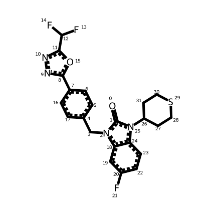 O=c1n(Cc2ccc(-c3nnc(C(F)F)o3)cc2)c2cc(F)ccc2n1C1CCSCC1